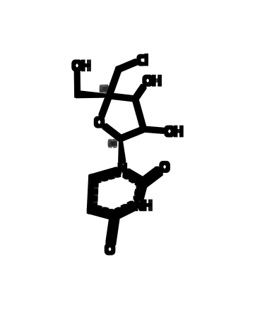 O=c1ccn([C@H]2O[C@](CO)(CCl)C(O)C2O)c(=O)[nH]1